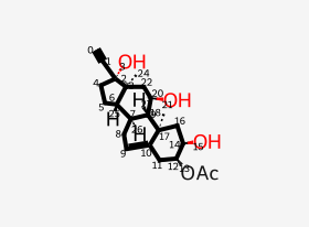 C#C[C@]1(O)CC[C@H]2[C@@H]3CC=C4C[C@H](OC(C)=O)[C@H](O)C[C@]4(C)[C@H]3[C@H](O)C[C@@]21C